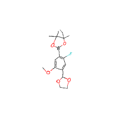 COc1cc(B2OC(C)(C)C(C)(C)O2)c(F)cc1C1OCCO1